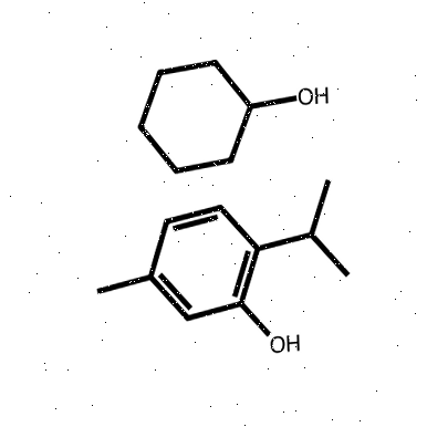 Cc1ccc(C(C)C)c(O)c1.OC1CCCCC1